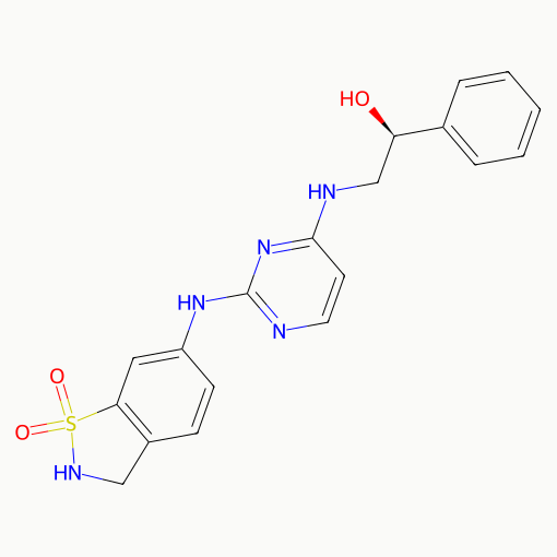 O=S1(=O)NCc2ccc(Nc3nccc(NC[C@@H](O)c4ccccc4)n3)cc21